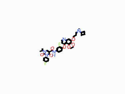 CC(C)n1cc(C(=O)Nc2ccc(Oc3ccnc4cc(OCCCN(C)C5CCC5)c5c(c34)OCCO5)c(F)c2)c(=O)n(-c2ccc(F)cc2)c1=O